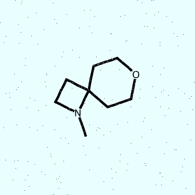 CN1CCC12CCOCC2